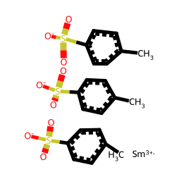 Cc1ccc(S(=O)(=O)[O-])cc1.Cc1ccc(S(=O)(=O)[O-])cc1.Cc1ccc(S(=O)(=O)[O-])cc1.[Sm+3]